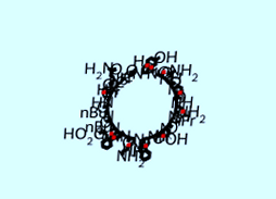 CCCC[C@H]1C(=O)N(C)[C@@H](CCCC)C(=O)N[C@@H](CC(C)C)C(=O)N[C@H](C(=O)NCC(N)=O)CSCC(=O)N[C@@H](Cc2ccc(O)cc2)C(=O)N(C)[C@@H](C)C(=O)N[C@@H](CC(N)=O)C(=O)N2CCC[C@H]2C(=O)N[C@@H](CN)C(=O)N[C@@H](CC(C)C)C(=O)N2C[C@H](O)C[C@H]2C(=O)N[C@@H](Cc2c[nH]c3ccccc23)C(=O)N[C@@H](CCCCN)C(=O)NC(Cc2cn(CC(=O)O)c3ccccc23)C(=O)N1C